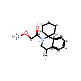 [2H]C1CN(C(=O)COC)C2(CCCCC2)c2ccccc21